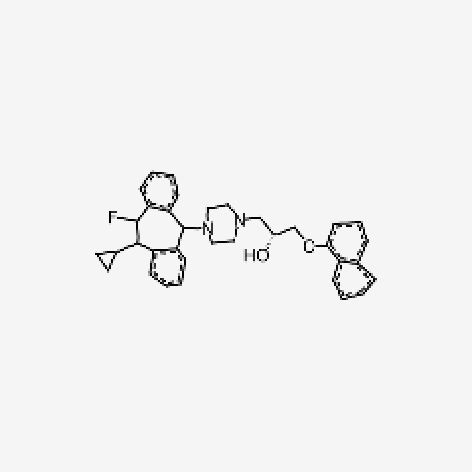 O[C@@H](COc1cccc2ccccc12)CN1CCN(C2c3ccccc3C(F)C(C3CC3)c3ccccc32)CC1